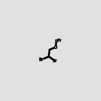 CCCOCC(Br)Br